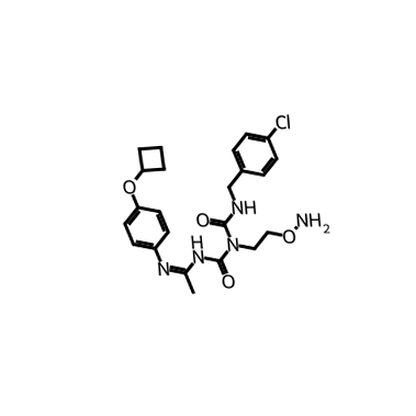 C/C(=N/c1ccc(OC2CCC2)cc1)NC(=O)N(CCON)C(=O)NCc1ccc(Cl)cc1